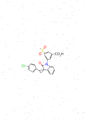 CS(=O)(=O)c1cc(C(=O)O)cc(N2C(=O)C3(CC3c3ccc(Cl)cc3)c3ccccc32)c1